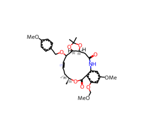 COCOc1cc(OC)cc2c1C(=O)O[C@@H](C)[C@H](C)/C=C\C(OCc1ccc(OC)cc1)[C@H]1OC(C)(C)O[C@H]1CC(=O)N2